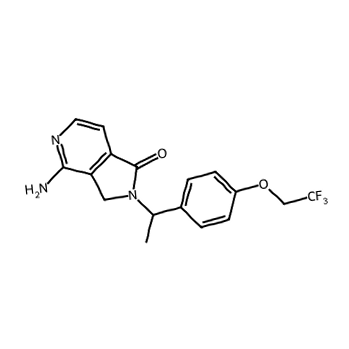 CC(c1ccc(OCC(F)(F)F)cc1)N1Cc2c(ccnc2N)C1=O